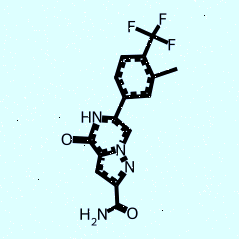 Cc1cc(-c2cn3nc(C(N)=O)cc3c(=O)[nH]2)ccc1C(F)(F)F